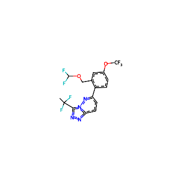 CC(F)(F)c1nnc2ccc(-c3ccc(OC(F)(F)F)cc3COC(F)F)nn12